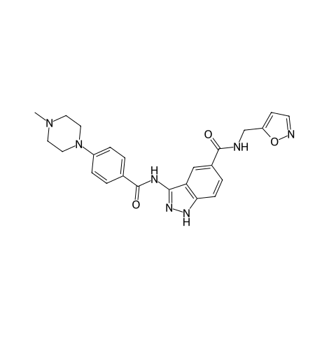 CN1CCN(c2ccc(C(=O)Nc3n[nH]c4ccc(C(=O)NCc5ccno5)cc34)cc2)CC1